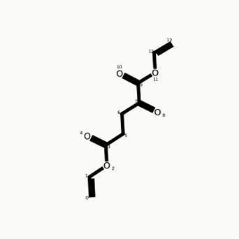 C=COC(=O)CCC(=O)C(=O)OC=C